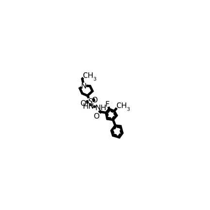 CCN1CCC(S(=O)(=O)NNC(=O)c2cc(-c3ccccc3)cc(C)c2F)CC1